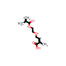 C=C(C)C(=O)OCCOCC=C(C)C(=O)O